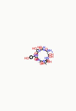 C[C@@H](O)[C@@H]1NC(=O)C(N)C[C@@H](O)[C@@H](O)NC(=O)[C@@H]2[C@@H](O)[C@@H](C)CN2C(=O)[C@H]([C@@H](C)O)NC(=O)[C@H]([C@H](O)[C@@H](O)c2ccc(O)cc2)NC(=O)C2C[C@@H](O)CN2C1=O